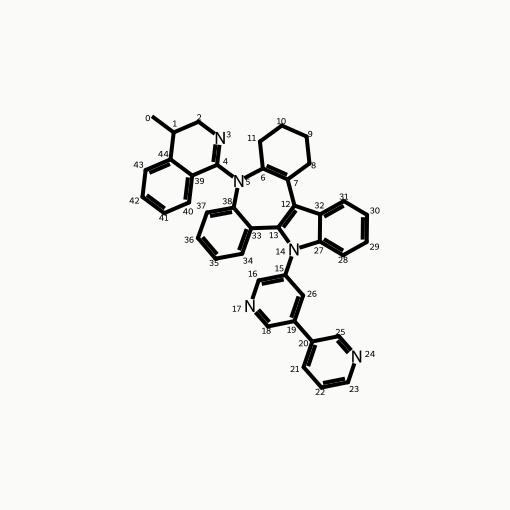 CC1CN=C(N2C3=C(CCCC3)c3c(n(-c4cncc(-c5cccnc5)c4)c4ccccc34)-c3ccccc32)c2ccccc21